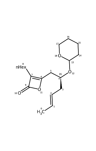 CC=CC[C@@H](CC1=C(CCCCCC)C(=O)O1)OC1CCCCO1